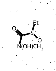 CC[S+]([O-])C(=O)N(C)O